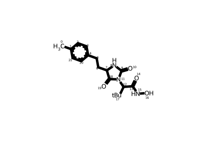 Cc1ccc(CCC2NC(=O)N(C(C(=O)NO)C(C)(C)C)C2=O)cc1